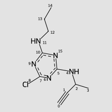 C#CC(C)Nc1nc(Cl)nc(NCCC)n1